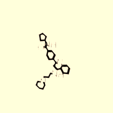 O=C(NC1CCCC1)c1ccc(-c2cc(NCCCN3CCCCC3)c3ccccc3n2)cc1